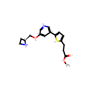 COC(=O)CCc1ccc(-c2cncc(OC[C@@H]3CCN3)c2)s1